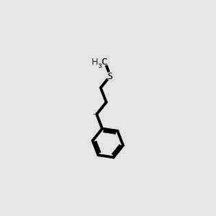 CSCC[CH]c1ccccc1